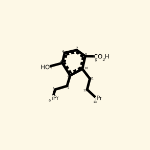 CC(C)CCc1c(O)ccc(C(=O)O)c1CCC(C)C